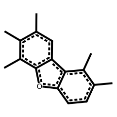 Cc1cc2c(oc3ccc(C)c(C)c32)c(C)c1C